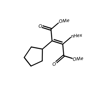 CCCCCCC(C(=O)OC)=C(C(=O)OC)C1CCCC1